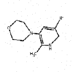 CC1=C(N2CCOCC2)C=C(Br)CN1